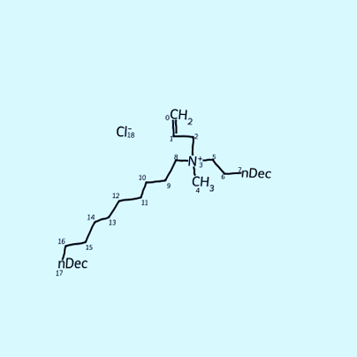 C=CC[N+](C)(CCCCCCCCCCCC)CCCCCCCCCCCCCCCCCCC.[Cl-]